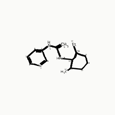 C=C(Nc1cccnc1)NC1C(C)CCCC1CC